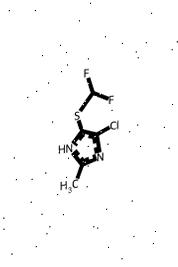 Cc1nc(Cl)c(SC(F)F)[nH]1